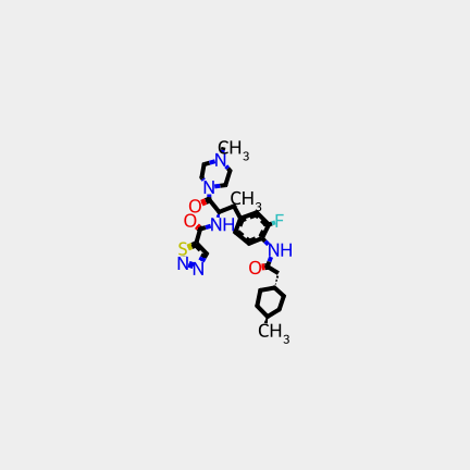 C[C@@H](c1ccc(NC(=O)C[C@H]2CC[C@H](C)CC2)c(F)c1)[C@@H](NC(=O)c1cnns1)C(=O)N1CCN(C)CC1